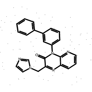 O=c1c(Cn2ccnc2)nc2cccnc2n1-c1cccc(-c2ccccc2)c1